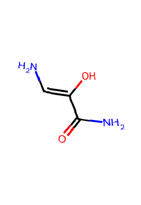 NC=C(O)C(N)=O